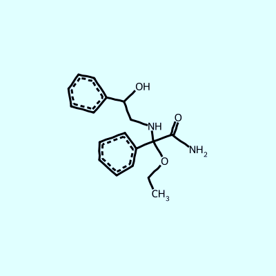 CCOC(NCC(O)c1ccccc1)(C(N)=O)c1ccccc1